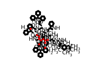 C=CCOC(=O)[C@H](CCCSC[C@H](NC(=O)[C@H](CCC(=O)NC(c1ccccc1)(c1ccccc1)c1ccccc1)NC(=O)[C@H](CCc1c[nH]c2ccccc12)NC(=O)[C@@H](NC(=O)[C@H](CCC(=O)NC(c1ccccc1)(c1ccccc1)c1ccccc1)NC(=O)OCC1c2ccccc2-c2ccccc21)[C@@H](C)OC(C)(C)C)C(=O)OC)NC(=O)[C@@H](CCCNC(=N)NS(=O)(=O)c1c(C)c(C)c2c(c1C)CC(C)(C)O2)NC(C)=O